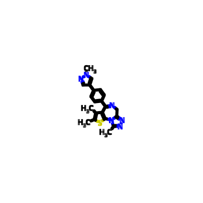 Cc1sc2c(c1C)C(c1ccc(-c3cnn(C)c3)cc1)=NCc1nnc(C)n1-2